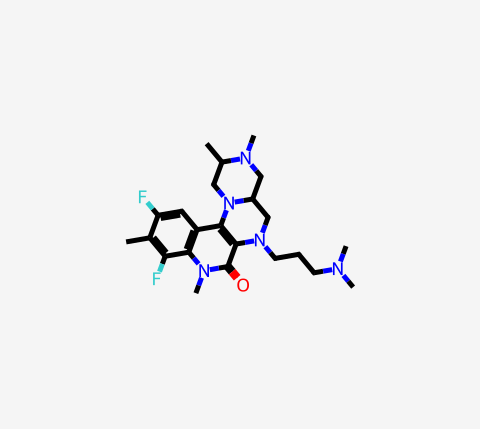 Cc1c(F)cc2c3c(c(=O)n(C)c2c1F)N(CCCN(C)C)CC1CN(C)C(C)CN31